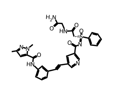 Cc1cc(C(=O)Nc2cccc(C#Cc3cncc(C(=O)N=[S@](=O)(CC(=O)NCC(N)=O)c4ccccc4)c3)c2)n(C)n1